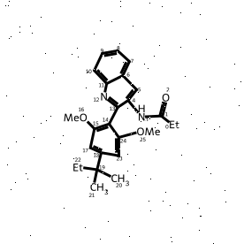 CCC(=O)Nc1cc2ccccc2nc1-c1c(OC)cc(C(C)(C)CC)cc1OC